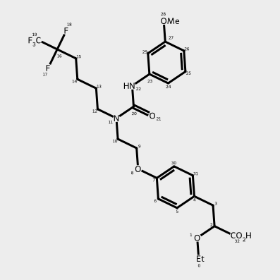 CCOC(Cc1ccc(OCCN(CCCCC(F)(F)C(F)(F)F)C(=O)Nc2cccc(OC)c2)cc1)C(=O)O